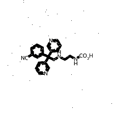 N#Cc1cccc(C(CNCCNC(=O)O)(c2cccnc2)c2cccnc2)c1